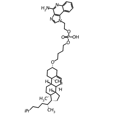 CC(C)CCC[C@@H](C)[C@H]1CC[C@H]2[C@@H]3CC=C4C[C@@H](OCCCCOP(=O)(O)OCCn5cnc6c(N)nc7ccccc7c65)CC[C@]4(C)[C@H]3CC[C@]12C